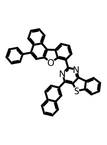 c1ccc(-c2cc3oc4c(-c5nc(-c6ccc7ccccc7c6)c6sc7ccccc7c6n5)cccc4c3c3ccccc23)cc1